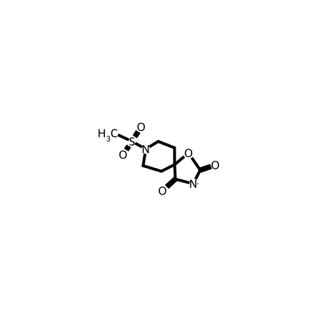 CS(=O)(=O)N1CCC2(CC1)OC(=O)[N]C2=O